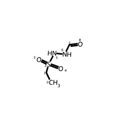 CCS(=O)(=O)NNC=O